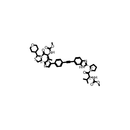 COC(=O)N[C@H](C(=O)N1CCC[C@H]1c1nc2ccc(C#Cc3ccc(-c4cnc([C@@H]5CSC(C6CCOCC6)N5C(=O)[C@@H](NC(=O)OC)C(C)C)[nH]4)cc3)cc2[nH]1)C(C)C